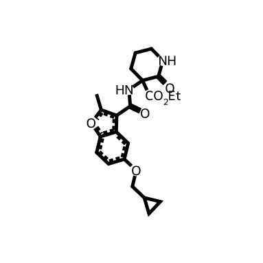 CCOC(=O)C1(NC(=O)c2c(C)oc3ccc(OCC4CC4)cc23)CCCNC1=O